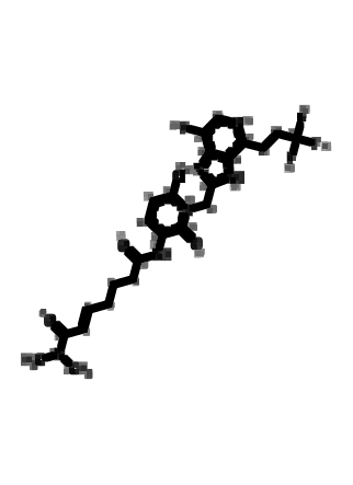 CN(C)C(=O)/C=C/CCCC(=O)Nc1ccc(Cl)n(Cc2nc3c(F)cnc(CCC(F)(F)F)c3[nH]2)c1=O